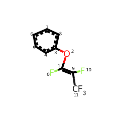 F/C(Oc1ccccc1)=C(/F)C(F)(F)F